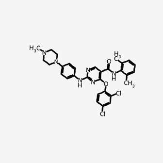 Cc1cccc(C)c1NC(=O)c1cnc(Nc2ccc(N3CCN(C)CC3)cc2)nc1Oc1ccc(Cl)cc1Cl